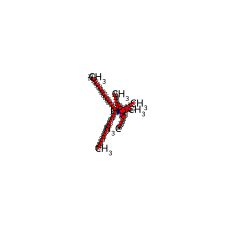 CCCCCCCCC1=C(c2ccc(CCCCCCCC)cc2)[N+](=[N-])C(c2ccc(CCCCCCCC)cc2)=C1CCCCC.CCCCCCCCCCCCCCCCCCCCCCCCCC[CH2][Ni][CH2]CCCCCCCCCCCCCCCCCCCCCCCCCC